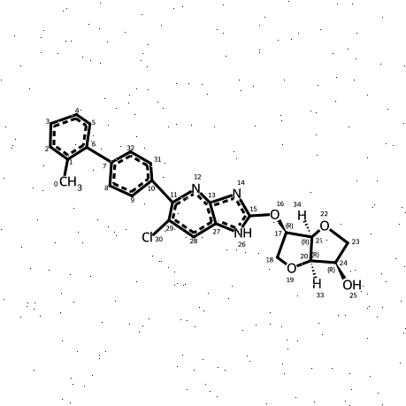 Cc1ccccc1-c1ccc(-c2nc3nc(O[C@@H]4CO[C@H]5[C@@H]4OC[C@H]5O)[nH]c3cc2Cl)cc1